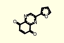 O=C1C=CC(=O)c2nc(-c3ccco3)cnc21